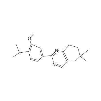 COc1cc(-c2ncc3c(n2)CCC(C)(C)C3)ccc1C(C)C